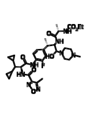 CCOC(=O)N[C@@H](C)C(=O)N[C@@H](C(O)N1CCN(C)CC1)[C@@H](C)c1ccc(NC(=O)[C@@H](NC(=O)c2nonc2C)C(C2CC2)C2CC2)c(F)c1